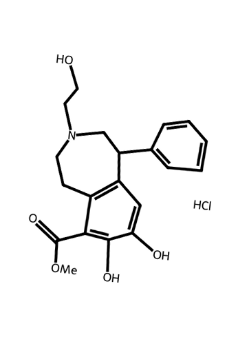 COC(=O)c1c(O)c(O)cc2c1CCN(CCO)CC2c1ccccc1.Cl